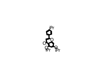 CC(C)Oc1cc(OC(C)C)c2c(=O)cc(-c3ccc(C(C)C)cc3)oc2c1